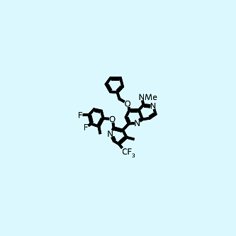 CNc1nccc2nc(-c3c(Oc4ccc(F)c(F)c4C)ncc(C(F)(F)F)c3C)cc(OCc3ccccc3)c12